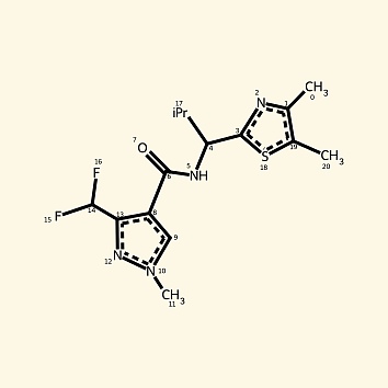 Cc1nc(C(NC(=O)c2cn(C)nc2C(F)F)C(C)C)sc1C